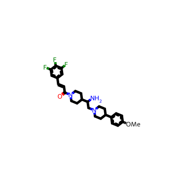 COc1ccc(C2CCN(CC(N)C3CCN(C(=O)C=Cc4cc(F)c(F)c(F)c4)CC3)CC2)cc1